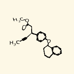 CC#C[C@@H](CC(=O)OC)c1ccc(OC2CCCc3ccccc32)cc1